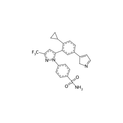 NS(=O)(=O)c1ccc(-n2nc(C(F)(F)F)cc2-c2cc(C3=CC=NC3)ccc2C2CC2)cc1